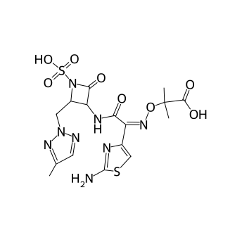 Cc1cnn(CC2C(NC(=O)/C(=N\OC(C)(C)C(=O)O)c3csc(N)n3)C(=O)N2S(=O)(=O)O)n1